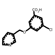 O=C(O)c1cc(Cl)cc(OCc2cccnc2)c1